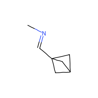 CN=CC12CC(C1)C2